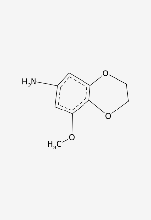 COc1cc(N)cc2c1OCCO2